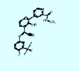 CNC(=O)c1cc(-c2nccc(/C(C#N)=N/c3ccc(F)c(C(F)(F)F)c3)c2O)ccn1